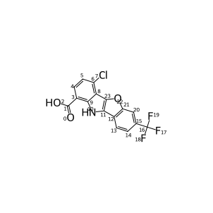 O=C(O)c1ccc(Cl)c2c1[nH]c1c3ccc(C(F)(F)F)cc3oc12